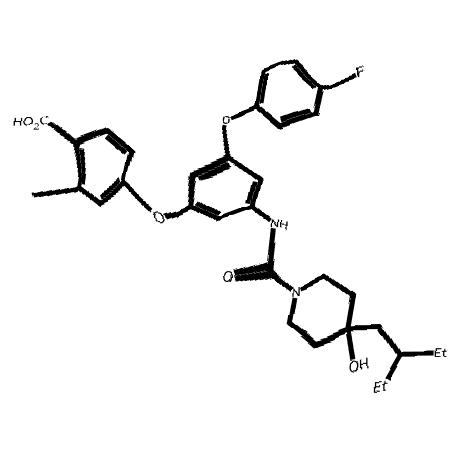 CCC(CC)CC1(O)CCN(C(=O)Nc2cc(Oc3ccc(F)cc3)cc(Oc3ccc(C(=O)O)c(C)c3)c2)CC1